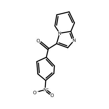 O=C(c1ccc([N+](=O)[O-])cc1)c1cnc2ccccn12